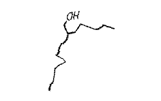 CCCCCC/C=C(/CO)CCCCC